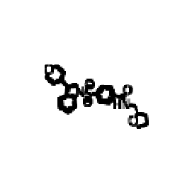 O=C(NC[C@H]1CCCO1)c1ccc(S(=O)(=O)n2cc(C3CCOCC3)c3ccccc32)cc1